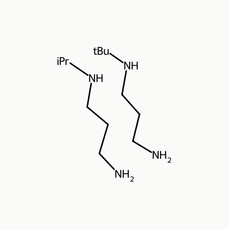 CC(C)(C)NCCCN.CC(C)NCCCN